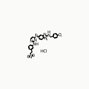 COc1ccc(CNc2nc3cc(N(C)c4ccnc(Nc5cccc(CCS(C)(=O)=O)c5)n4)ccc3n2C)cc1.Cl